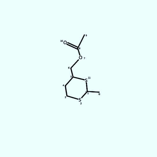 C[C]1SCCC(COC(C)=O)S1